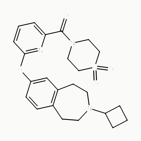 O=C(c1cccc(Oc2ccc3c(c2)CCN(C2CCC2)CC3)n1)N1CCS(=O)(=O)CC1